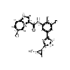 Cc1c(F)cc(-c2noc([C@H]3C[C@@H]3F)n2)cc1NC(=O)c1cnc2ccc(Cl)cn12